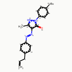 C=CCc1ccc(/N=N/c2c(C)[nH]n(-c3ccc(C(C)(C)C)cc3)c2=O)cc1